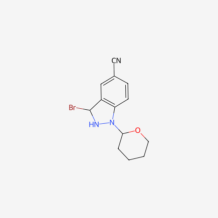 N#Cc1ccc2c(c1)C(Br)NN2C1CCCCO1